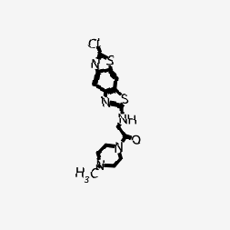 CN1CCN(C(=O)CNc2nc3cc4nc(Cl)sc4cc3s2)CC1